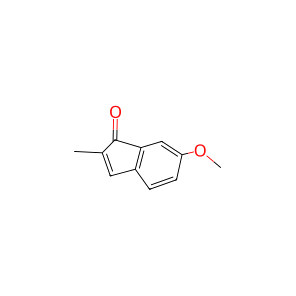 COc1ccc2c(c1)C(=O)C(C)=C2